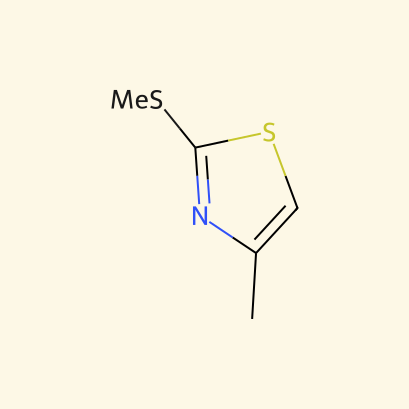 CSc1nc(C)cs1